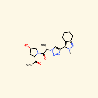 CNC(=O)[C@@H]1C[C@@H](O)CN1C(=O)[C@@H](n1cc(-c2c3c(nn2C)CCCC3)nn1)C(C)(C)C